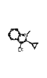 CCc1c(C2CC2)n(C)c2ccccc12